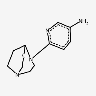 Nc1ccc(N2CCN3CCC2CC3)nc1